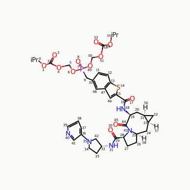 CC(C)OC(=O)OCOP(=O)(Cc1ccc2sc(C(=O)N[C@H]3C[C@H]4C[C@H]4C[C@H]4CC[C@@H](C(=O)N[C@@H]5CCN(c6cccnc6)C5)N4C3=O)cc2c1)OCOC(=O)OC(C)C